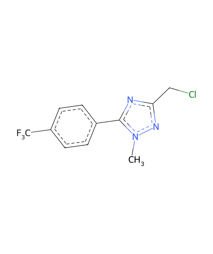 Cn1nc(CCl)nc1-c1ccc(C(F)(F)F)cc1